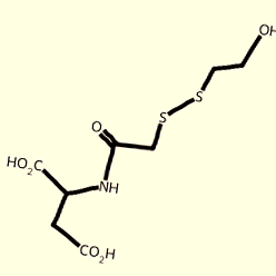 O=C(O)CC(NC(=O)CSSCCO)C(=O)O